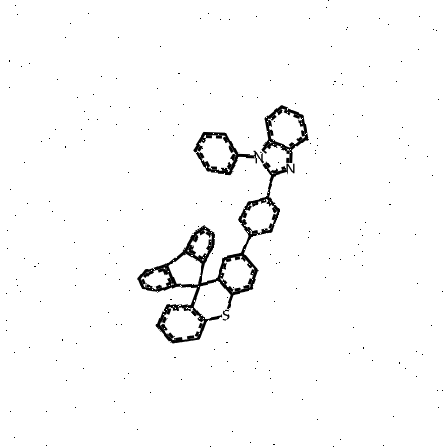 c1ccc(-n2c(-c3ccc(-c4ccc5c(c4)C4(c6ccccc6S5)c5ccccc5-c5ccccc54)cc3)nc3ccccc32)cc1